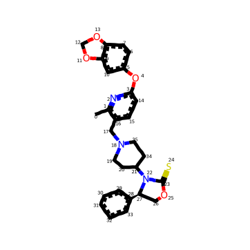 Cc1nc(Oc2ccc3c(c2)OCO3)ccc1CN1CCC(N2C(=S)OC[C@H]2c2ccccc2)CC1